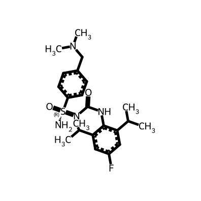 CC(C)c1cc(F)cc(C(C)C)c1NC(=O)N=[S@@](N)(=O)c1ccc(CN(C)C)cc1